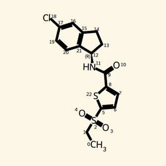 CCS(=O)(=O)c1ccc(C(=O)N[C@@H]2CCc3cc(Cl)ccc32)s1